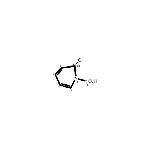 O=C(O)N1C=CC=C[C@@H]1Cl